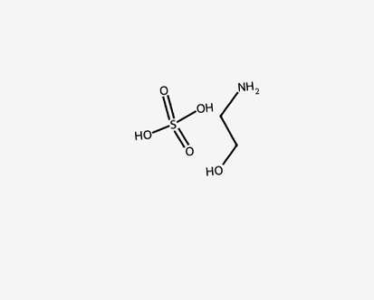 NCCO.O=S(=O)(O)O